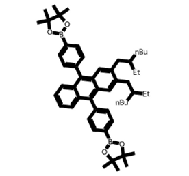 CCCCC(CC)Cc1cc2c(-c3ccc(B4OC(C)(C)C(C)(C)O4)cc3)c3ccccc3c(-c3ccc(B4OC(C)(C)C(C)(C)O4)cc3)c2cc1CC(CC)CCCC